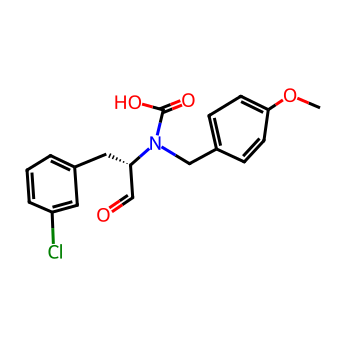 COc1ccc(CN(C(=O)O)[C@H](C=O)Cc2cccc(Cl)c2)cc1